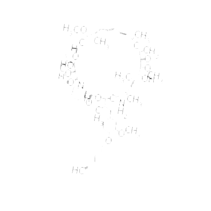 C#CCCCCO[C@@H]1CC[C@@H](C[C@@H](C)[C@@H]2CC(N)[C@H](C)/C=C(\C)[C@@H](O)[C@@H](OC)C(=O)[C@H](C)C[C@H](C)/C=C/C=C/C=C(\C)[C@@H](OC)C[C@@H]3CC[C@@H](C)[C@@](O)(O3)C(=O)C(=O)N3CCCC[C@H]3C(=O)O2)C[C@H]1OC